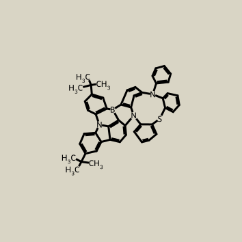 CC(C)(C)c1ccc2c(c1)B1c3ccc4cc3N(c3ccccc3Sc3ccccc3N4c3ccccc3)c3ccc4c5cc(C(C)(C)C)ccc5n-2c4c31